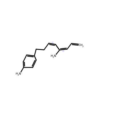 C=C/C=C(N)\C=C/CCc1ccc(N)cc1